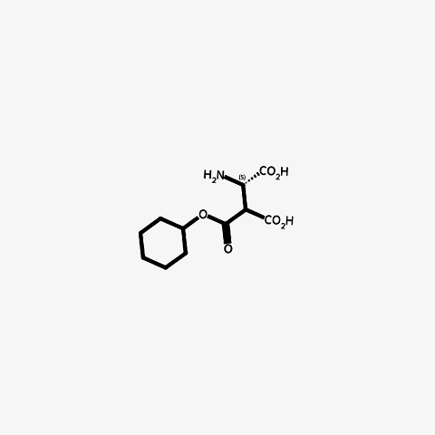 N[C@H](C(=O)O)C(C(=O)O)C(=O)OC1CCCCC1